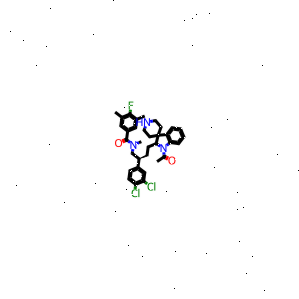 CC(=O)N1c2ccccc2C2(CCNCC2)C1CC[C@H](CN(C)C(=O)c1cc(C)c(F)c(C)c1)c1ccc(Cl)c(Cl)c1